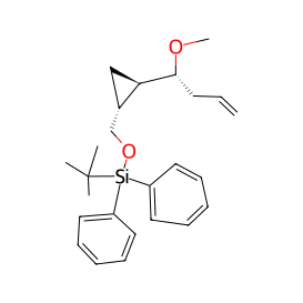 C=CC[C@@H](OC)[C@@H]1C[C@H]1CO[Si](c1ccccc1)(c1ccccc1)C(C)(C)C